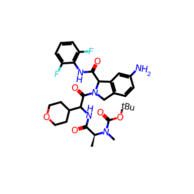 C[C@@H](C(=O)NC(C(=O)N1Cc2ccc(N)cc2C1C(=O)Nc1c(F)cccc1F)C1CCOCC1)N(C)C(=O)OC(C)(C)C